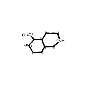 O=CC1NCCC2CNCCC21